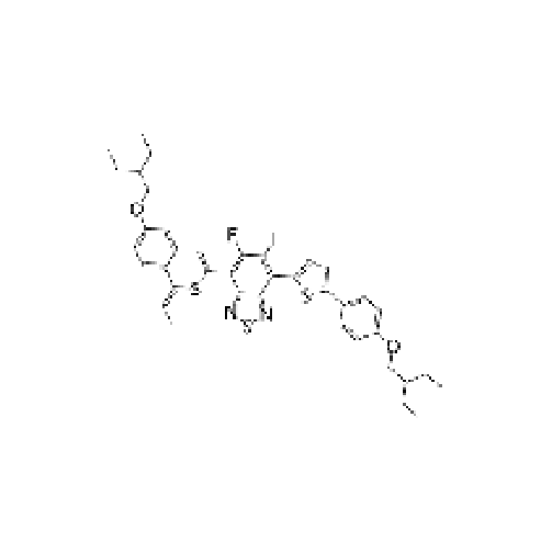 C=C(S/C(=C\C)c1ccc(OCC(CC)CC)cc1)c1c(F)c(F)c(-c2ccc(-c3ccc(OCC(CC)CC)cc3)s2)c2nsnc12